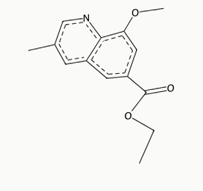 CCOC(=O)c1cc(OC)c2ncc(C)cc2c1